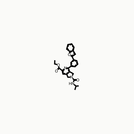 CCOC(=O)c1cc2c(c(-c3cccc(-c4cc5ccccc5o4)c3)n1)CN(C(=O)NC(C)C)C2